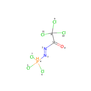 O=C(N=N[PH](Cl)(Cl)Cl)C(Cl)(Cl)Cl